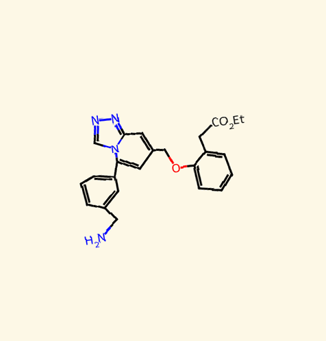 CCOC(=O)Cc1ccccc1OCc1cc(-c2cccc(CN)c2)n2cnnc2c1